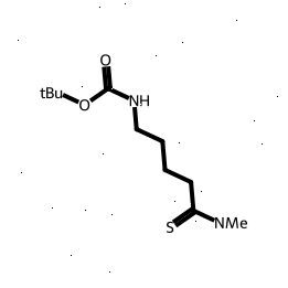 CNC(=S)CCCCNC(=O)OC(C)(C)C